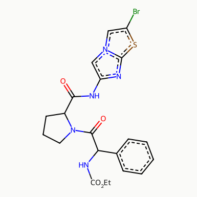 CCOC(=O)NC(C(=O)N1CCCC1C(=O)Nc1cn2cc(Br)sc2n1)c1ccccc1